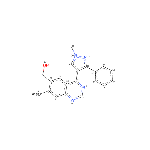 COc1cc2ncnc(-c3cn(C)nc3-c3ccccc3)c2cc1CO